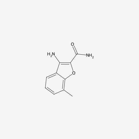 Cc1cccc2c(N)c(C(N)=O)oc12